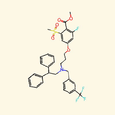 COC(=O)c1c(F)cc(OCCCN(Cc2cccc(C(F)(F)F)c2)CC(c2ccccc2)c2ccccc2)cc1S(C)(=O)=O